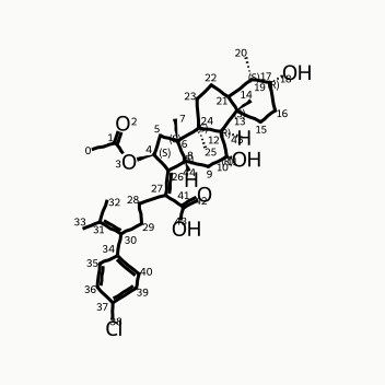 CC(=O)O[C@H]1C[C@@]2(C)[C@H](C[C@@H](O)[C@@H]3[C@@]4(C)CC[C@@H](O)[C@@H](C)C4CC[C@@]32C)C1=C(CCC(=C(C)C)c1ccc(Cl)cc1)C(=O)O